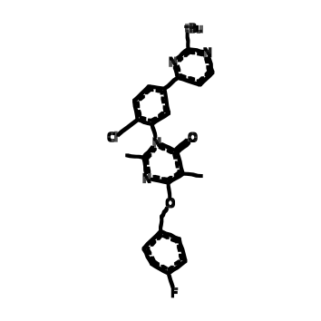 Cc1c(OCc2ccc(F)cc2)nc(C)n(-c2cc(-c3ccnc(C(C)(C)C)n3)ccc2Cl)c1=O